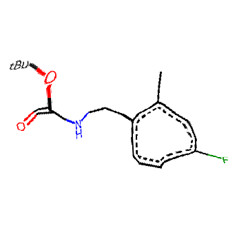 Cc1cc(F)ccc1CNC(=O)OC(C)(C)C